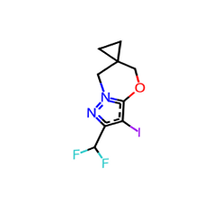 FC(F)c1nn2c(c1I)OCC1(CC1)C2